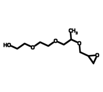 CC(COCCOCCO)OCC1CO1